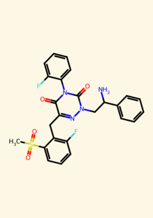 CS(=O)(=O)c1cccc(F)c1Cc1nn(CC(N)c2ccccc2)c(=O)n(-c2ccccc2F)c1=O